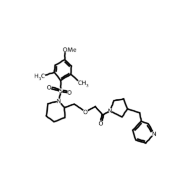 COc1cc(C)c(S(=O)(=O)N2CCCCC2COCC(=O)N2CCC(Cc3cccnc3)C2)c(C)c1